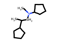 [SiH3]C([SiH2]N([SiH3])C1CCCC1)C1CCCC1